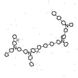 CC1(C)c2ccccc2-c2ccc(N(c3ccc(-c4ccccc4)cc3)c3ccc(-c4ccc(N(c5ccc(-c6ccccc6)cc5)c5ccc6c(c5)C(C)(C)c5cc(-c7ccc(-c8ccc(-c9ccc(N(c%10ccccc%10)c%10ccc(-c%11ccc(N(c%12ccccc%12)c%12ccc(-c%13ccc(-c%14ccccc%14)cc%13)cc%12)cc%11)cc%10)cc9)cc8)cc7)ccc5-6)cc4)cc3)cc21